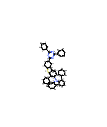 c1ccc(-c2nc(-c3ccccc3)nc(-c3ccc4sc5c(-c6ccccc6)c(-n6c7ccccc7c7cccc(-c8ccccc8)c76)ccc5c4c3)n2)cc1